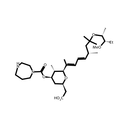 CC[C@H](OC)[C@@H](C)OC(C)(C)C[C@H](C)/C=C/C=C(\C)[C@H]1O[C@@H](CC(=O)O)C[C@@H](OC(=O)N2CCCNCC2)[C@@H]1C